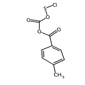 Cc1ccc(C(=O)OC(=O)OSCl)cc1